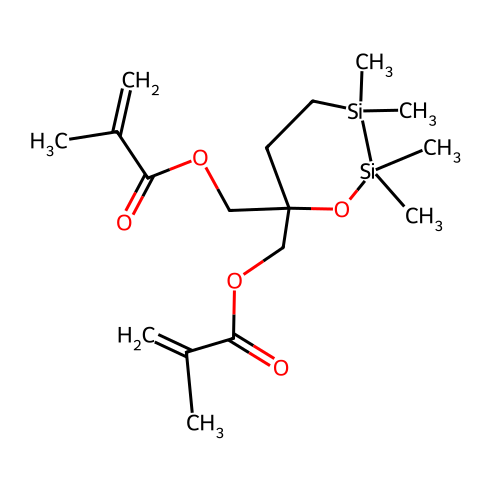 C=C(C)C(=O)OCC1(COC(=O)C(=C)C)CC[Si](C)(C)[Si](C)(C)O1